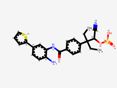 CCC(CC)(c1ccc(C(=O)Nc2cc(-c3cccs3)ccc2N)cc1)C(C#N)O[PH](=O)O